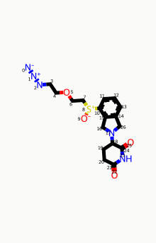 [N-]=[N+]=NCCOCC[S+]([O-])c1cccc2c1CN(C1CCC(=O)NC1=O)C2